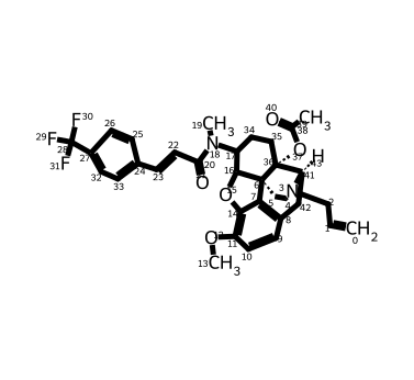 C=CCN1CC[C@]23c4c5ccc(OC)c4OC2C(N(C)C(=O)/C=C/c2ccc(C(F)(F)F)cc2)CC[C@@]3(OC(C)=O)[C@H]1C5